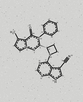 Cc1ccn2nc([C@@H]3CCN3c3ncnc4[nH]cc(C#N)c34)n(-c3ccccc3)c(=O)c12